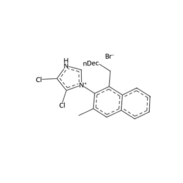 CCCCCCCCCCCc1c(-[n+]2c[nH]c(Cl)c2Cl)c(C)cc2ccccc12.[Br-]